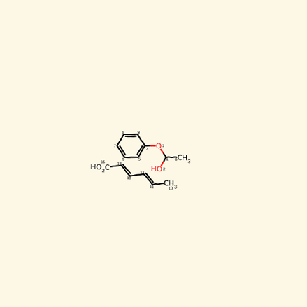 CC(O)Oc1ccccc1.CC=CC=CC(=O)O